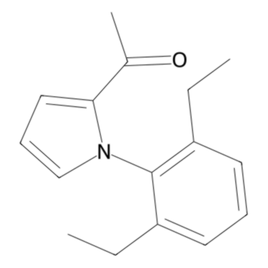 CCc1cccc(CC)c1-n1cccc1C(C)=O